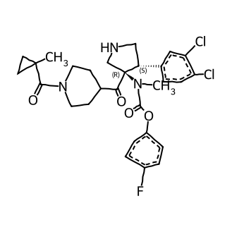 CN(C(=O)Oc1ccc(F)cc1)[C@@]1(C(=O)C2CCN(C(=O)C3(C)CC3)CC2)CNC[C@@H]1c1ccc(Cl)c(Cl)c1